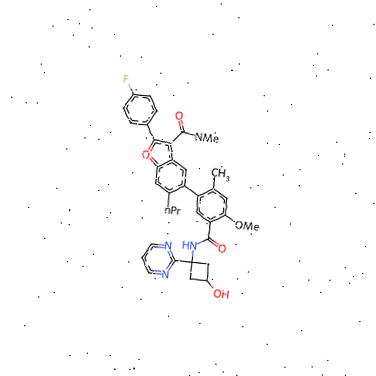 CCCc1cc2oc(-c3ccc(F)cc3)c(C(=O)NC)c2cc1-c1cc(C(=O)NC2(c3ncccn3)CC(O)C2)c(OC)cc1C